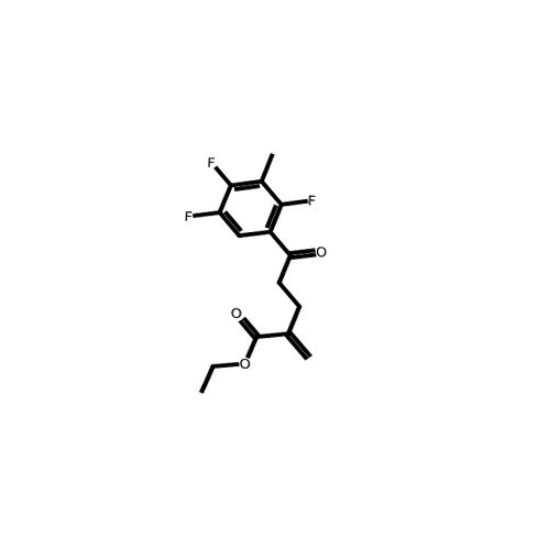 C=C(CCC(=O)c1cc(F)c(F)c(C)c1F)C(=O)OCC